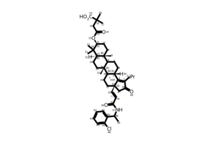 CC(C)C1=C2[C@H]3CCC4[C@@]5(C)CC[C@H](OC(=O)CC(C)(C)C(=O)O)C(C)(C)[C@@H]5CC[C@@]4(C)[C@]3(C)CC[C@@]2(/C=C/C(=O)NC(C)c2ccccc2Cl)CC1=O